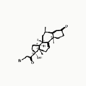 CC1C[C@@H]2C(=CC[C@@]3(C)[C@H]2CC[C@]3(O)C(=O)CBr)[C@@]2(C)CCC(=O)C=C12